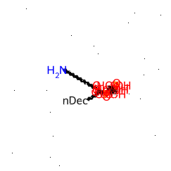 CCCCCCCCCCCCCCCC(=O)O[C@H](COC(=O)CCCCCCCCCCCCCCCCN)COP(=O)(O)OC1C(O)[C@@H](O)C(OP(=O)(O)O)[C@@H](O)[C@H]1O